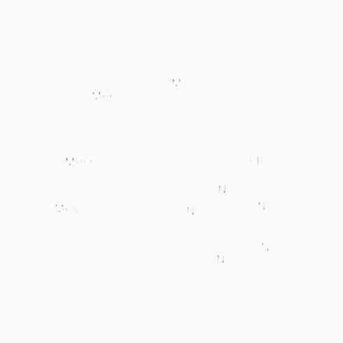 COc1ccc(CC2c3cc(OC)c(OC)cc3CCN2c2nc(Cl)nc3c2ncn3C)cc1OC